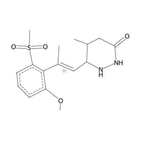 COc1cccc(S(C)(=O)=O)c1/C(C)=C/C1NNC(=O)CC1C